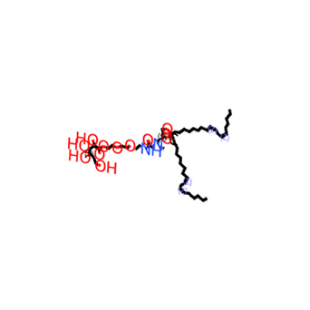 CCCCC/C=C\C/C=C\CCCCCCCCC1(CCCCCCCC/C=C\C/C=C\CCCCC)OC[C@H](CN(C)CC(=O)NCCOCCOCCOC2=C(O)C(O)[C@H](O)C(CO)O2)O1